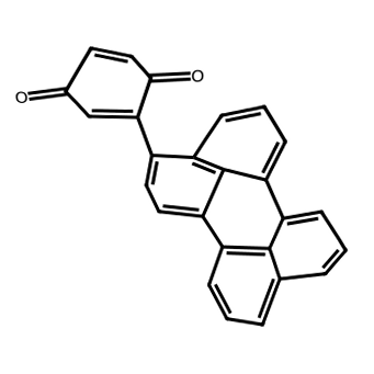 O=C1C=CC(=O)C(c2ccc3c4cccc5cccc(c6cccc2c63)c54)=C1